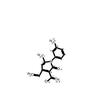 C=Cc1cc(C)n(-c2cccc(C)c2)c(=O)c1C(=C)Cl